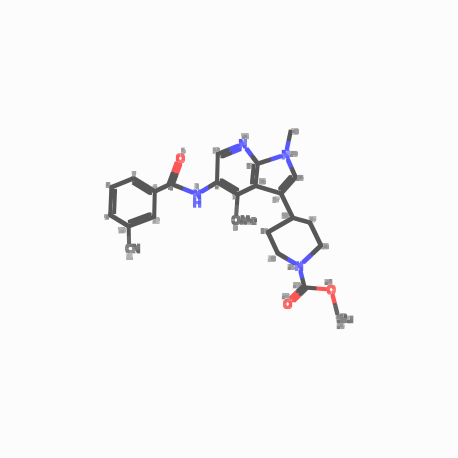 COc1c(NC(=O)c2cccc(C#N)c2)cnc2c1c(C1CCN(C(=O)OC(C)(C)C)CC1)cn2C